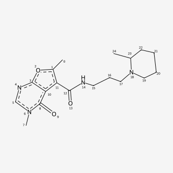 Cc1oc2ncn(C)c(=O)c2c1C(=O)NCCCN1CCCCC1C